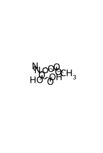 CCOC(=O)COc1ccc(Cn2ccnc2)cc1.O=C(O)C=CC(=O)O